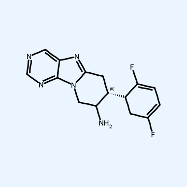 NC1Cn2c(nc3cncnc32)C[C@@H]1C1CC(F)=CC=C1F